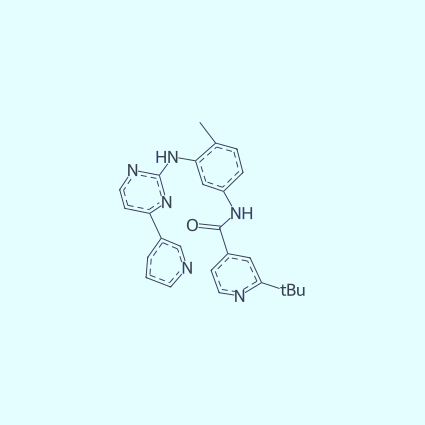 Cc1ccc(NC(=O)c2ccnc(C(C)(C)C)c2)cc1Nc1nccc(-c2cccnc2)n1